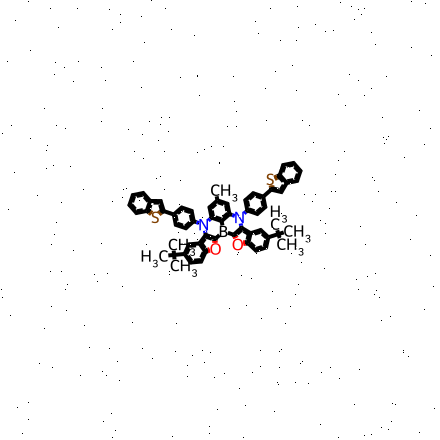 Cc1cc2c3c(c1)N(c1ccc(-c4cc5ccccc5s4)cc1)c1c(oc4ccc(C(C)(C)C)cc14)B3c1oc3ccc(C(C)(C)C)cc3c1N2c1ccc(-c2cc3ccccc3s2)cc1